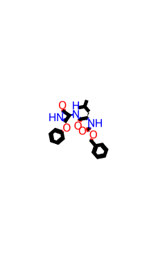 CC(C)C[C@H](NC(=O)OCc1ccccc1)C(=O)N[C@@H]1C(=O)N[C@H]1Oc1ccccc1